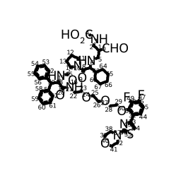 O=CC(CNC(=O)O)CNC(C(=O)N1CCC[C@H]1C(=O)NC(C(=O)NCCOCCOCCOc1c(-c2csc(N3CCOCC3)n2)ccc(F)c1F)C(c1ccccc1)c1ccccc1)C1CCCCC1